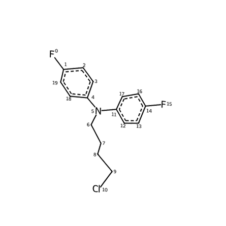 Fc1ccc(N(CCCCCl)c2ccc(F)cc2)cc1